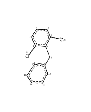 Clc1[c]ccc(Cl)c1Cc1ccccc1